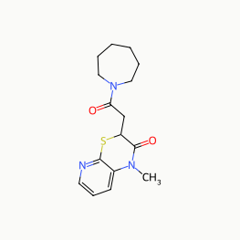 CN1C(=O)C(CC(=O)N2CCCCCC2)Sc2ncccc21